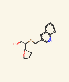 OC[C@H](SCc1cnc2ccccc2c1)[C@H]1CCCO1